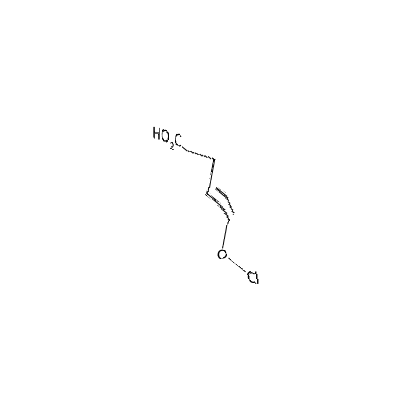 O=C(O)CC=COCl